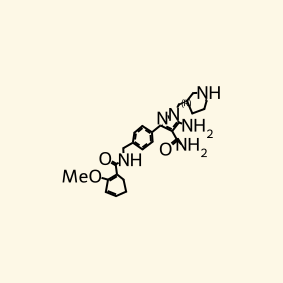 COC1=C(C(=O)NCc2ccc(-c3nn(C[C@@H]4CCCNC4)c(N)c3C(N)=O)cc2)CCC=C1